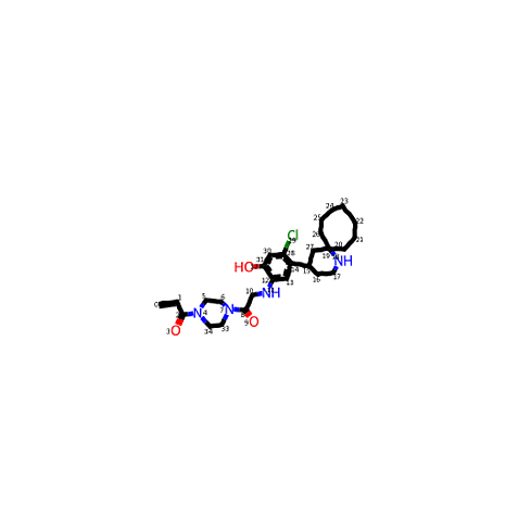 C=CC(=O)N1CCN(C(=O)CNc2cc(C3CCNC4(CCCCCCC4)C3)c(Cl)cc2O)CC1